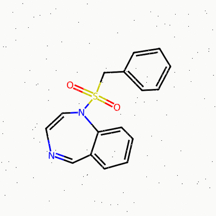 O=S(=O)(Cc1ccccc1)N1C=CN=Cc2ccccc21